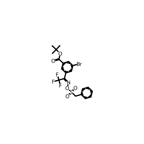 CC(C)(C)OC(=O)c1cc(Br)cc(C(=NOS(=O)(=O)Cc2ccccc2)C(F)(F)F)c1